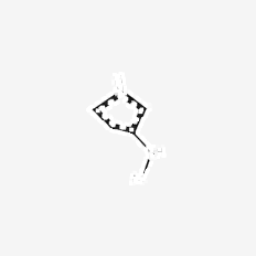 CC(=O)Nc1[c][nH]cc1